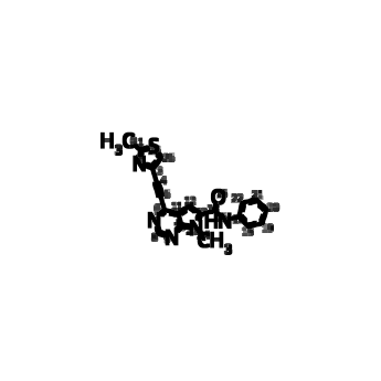 Cc1nc(C#Cc2ncnc3c2cc(C(=O)Nc2ccccc2)n3C)cs1